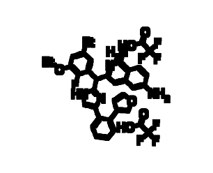 CCOc1cc(CC)cc(C(c2cc3cc(N)ccc3c(N)n2)c2nc(-c3ccccc3-c3ccoc3)c[nH]2)c1F.O=C(O)C(F)(F)F.O=C(O)C(F)(F)F